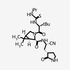 CC(C)NC(=S)N[C@H](C(=O)N1C[C@H]2[C@@H]([C@H]1C(=O)N[C@H](C#N)C[C@@H]1CCNC1=O)C2(C)C)C(C)(C)C